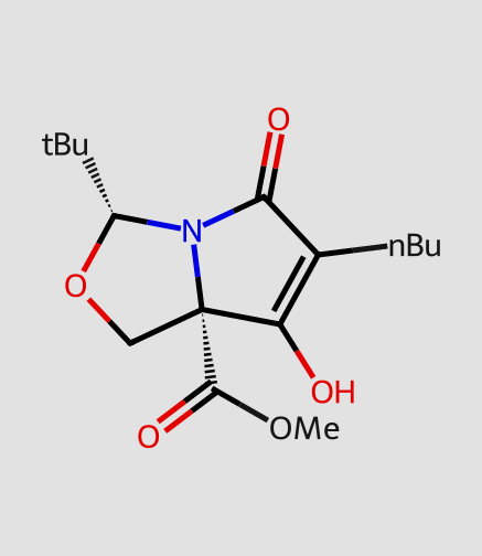 CCCCC1=C(O)[C@@]2(C(=O)OC)CO[C@H](C(C)(C)C)N2C1=O